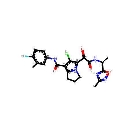 Cc1noc([C@H](C)NC(=O)C(=O)c2c(Cl)c(C(=O)Nc3ccc(F)c(C)c3)c3n2CCC3)n1